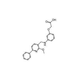 COc1nc(-c2ccccc2)ccc1CNc1cccc(OCC(=O)O)c1